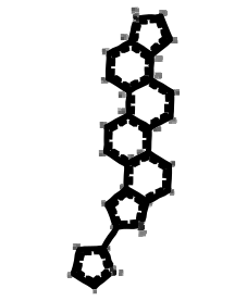 c1csc(-c2cc3c(ccc4c3ccc3c5ccc6sccc6c5ccc43)s2)c1